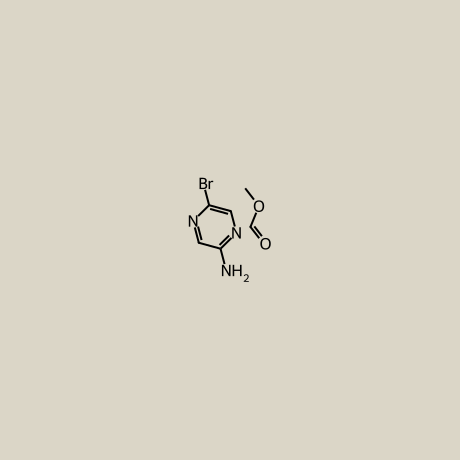 COC=O.Nc1cnc(Br)cn1